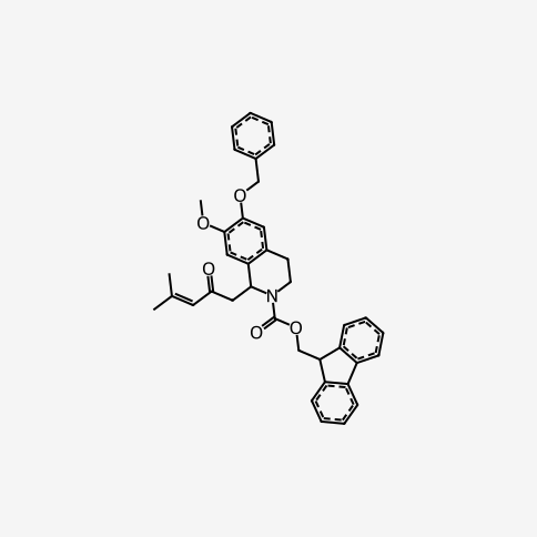 COc1cc2c(cc1OCc1ccccc1)CCN(C(=O)OCC1c3ccccc3-c3ccccc31)C2CC(=O)C=C(C)C